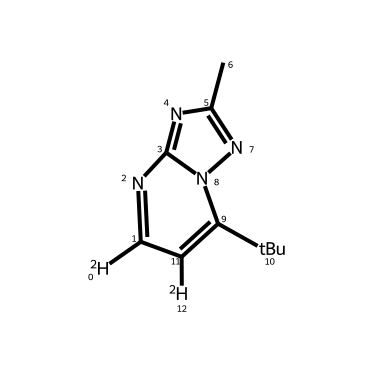 [2H]c1nc2nc(C)nn2c(C(C)(C)C)c1[2H]